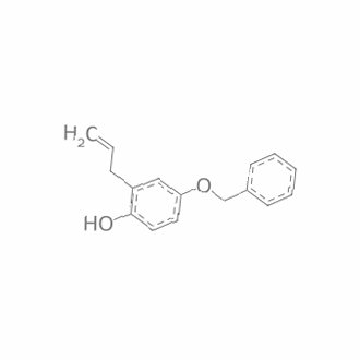 C=CCc1cc(OCc2ccccc2)ccc1O